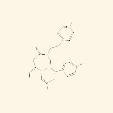 C=C1C/C(=C/C=O)N(/C=C(\C)C(=O)O)N(Cc2ccc(F)cc2)CN1CCc1ccc(F)cc1